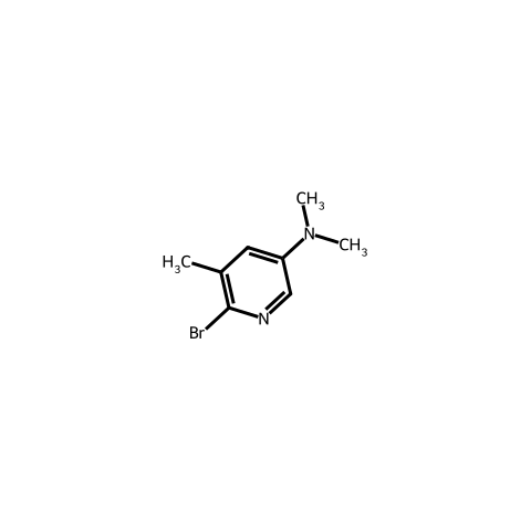 Cc1cc(N(C)C)cnc1Br